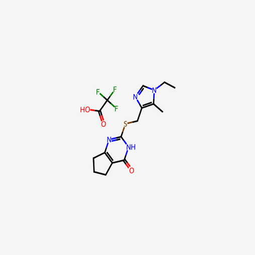 CCn1cnc(CSc2nc3c(c(=O)[nH]2)CCC3)c1C.O=C(O)C(F)(F)F